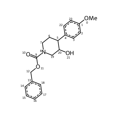 COc1ccc(C2CCN(C(=O)OCc3ccccc3)CC2O)cc1